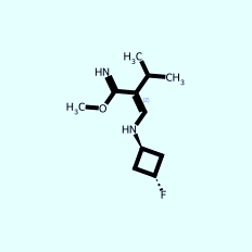 COC(=N)/C(=C\N[C@H]1C[C@H](F)C1)C(C)C